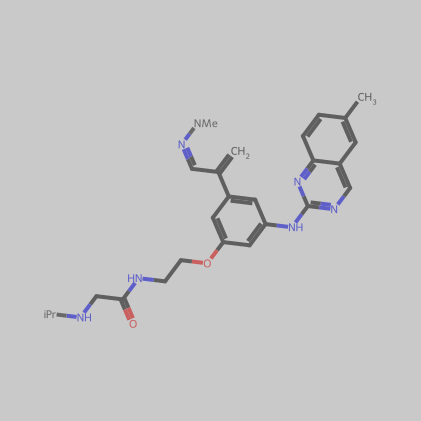 C=C(/C=N\NC)c1cc(Nc2ncc3cc(C)ccc3n2)cc(OCCNC(=O)CNC(C)C)c1